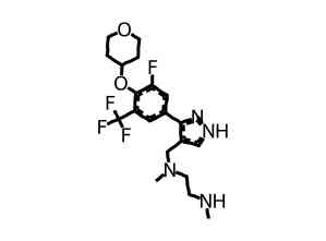 CNCCN(C)Cc1c[nH]nc1-c1cc(F)c(OC2CCOCC2)c(C(F)(F)F)c1